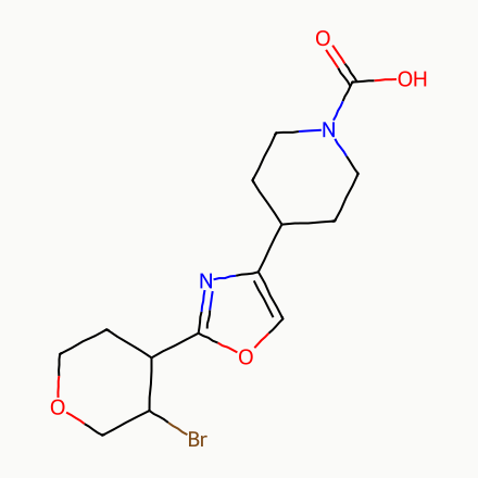 O=C(O)N1CCC(c2coc(C3CCOCC3Br)n2)CC1